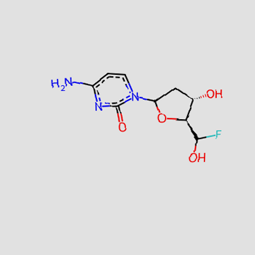 Nc1ccn(C2C[C@H](O)[C@@H](C(O)F)O2)c(=O)n1